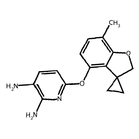 Cc1ccc(Oc2ccc(N)c(N)n2)c2c1OCC21CC1